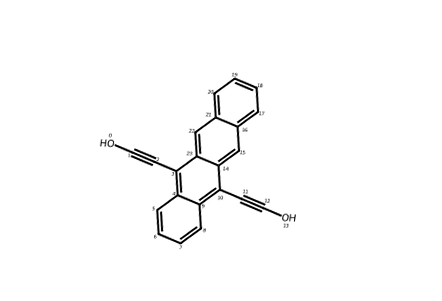 OC#Cc1c2ccccc2c(C#CO)c2cc3ccccc3cc12